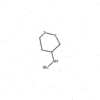 CC(C)(C)NC1CCSSC1